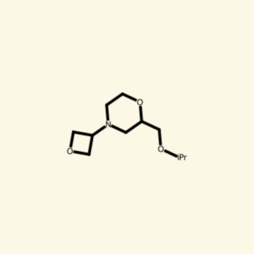 CC(C)OCC1CN(C2COC2)CCO1